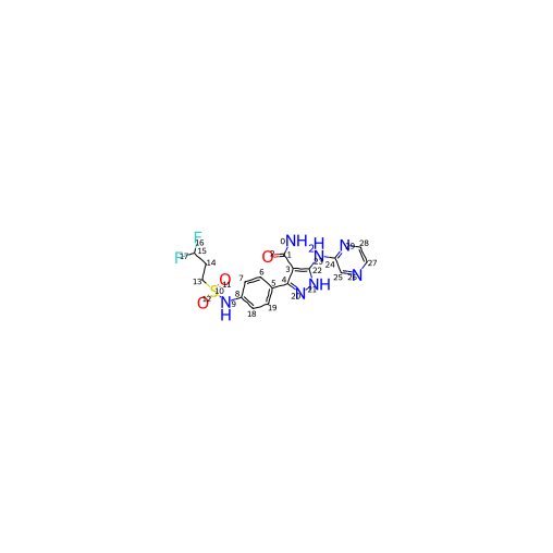 NC(=O)c1c(-c2ccc(NS(=O)(=O)CCC(F)F)cc2)n[nH]c1Nc1cnccn1